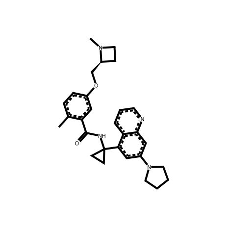 Cc1ccc(OC[C@@H]2CCN2C)cc1C(=O)NC1(c2cc(N3CCCC3)cc3ncccc23)CC1